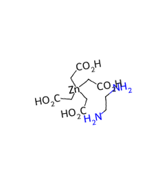 NCCN.O=C(O)[CH2][Zn]([CH2]C(=O)O)([CH2]C(=O)O)[CH2]C(=O)O